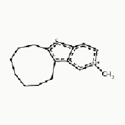 C[n+]1ccc2sc3c(c2c1)CCCCCCC3